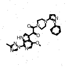 COc1cnc(-n2cnc(C)n2)c2[nH]cc(C(=O)C(=O)N3CCN(c4ccnn4-c4ccccc4)CC3)c12